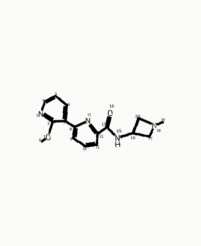 COc1ncccc1-c1cccc(C(=O)NC2CN(C)C2)n1